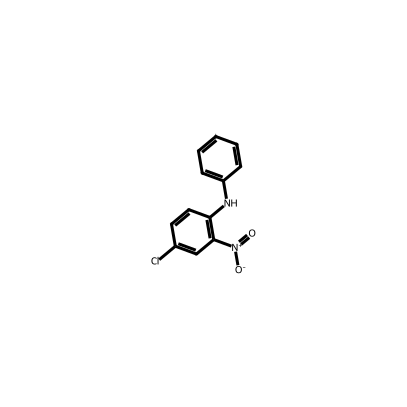 O=[N+]([O-])c1cc(Cl)ccc1Nc1cc[c]cc1